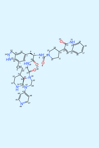 Cc1cc(C[C@@H](NC(=O)N2CCC(c3cc4ccccc4[nH]c3=O)CC2)C(=O)N[C@@H](CC2CCNCC2)C(=O)N2CCN(c3ccncc3)CC2)cc2cn[nH]c12